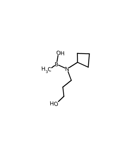 CB(O)N(CCCO)C1CCC1